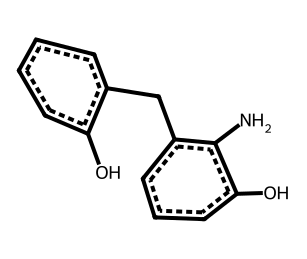 Nc1c(O)cccc1Cc1ccccc1O